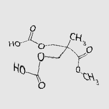 COC(=O)C(C)(COC(=O)O)COC(=O)O